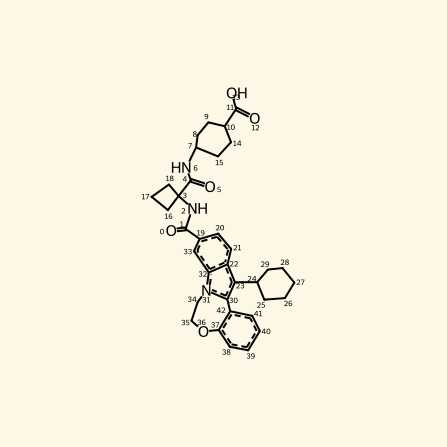 O=C(NC1(C(=O)NC2CCC(C(=O)O)CC2)CCC1)c1ccc2c(C3CCCCC3)c3n(c2c1)CCOc1ccccc1-3